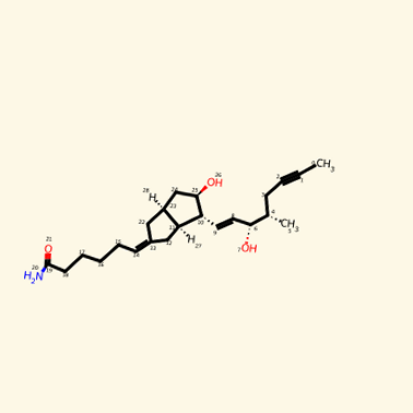 CC#CC[C@H](C)[C@H](O)/C=C/[C@@H]1[C@H]2C/C(=C/CCCCC(N)=O)C[C@H]2C[C@H]1O